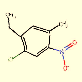 CCc1cc(C)c([N+](=O)[O-])cc1Cl